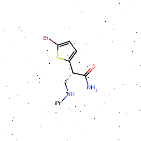 CC(C)NC[C@@H](C(N)=O)c1ccc(Br)s1